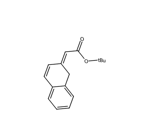 CC(C)(C)OC(=O)C=C1C=Cc2ccccc2C1